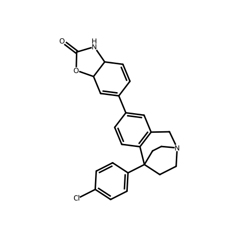 O=C1NC2C=CC(c3ccc4c(c3)CN3CCC4(c4ccc(Cl)cc4)CC3)=CC2O1